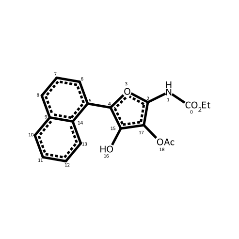 CCOC(=O)Nc1oc(-c2cccc3ccccc23)c(O)c1OC(C)=O